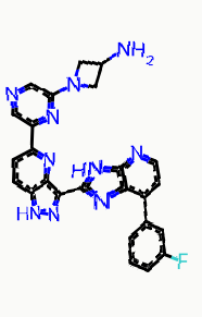 NC1CN(c2cncc(-c3ccc4[nH]nc(-c5nc6c(-c7cccc(F)c7)ccnc6[nH]5)c4n3)n2)C1